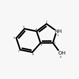 Oc1[nH]cc2ccccc12